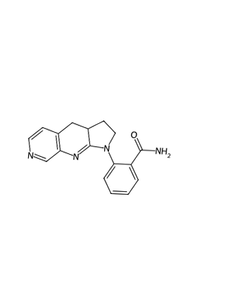 NC(=O)c1ccccc1N1CCC2Cc3ccncc3N=C21